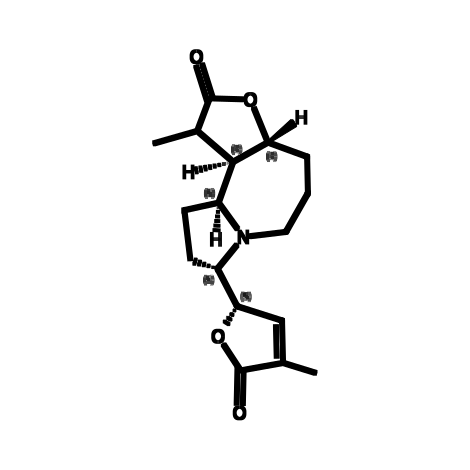 CC1=C[C@@H]([C@@H]2CC[C@H]3[C@H]4C(C)C(=O)O[C@@H]4CCCN32)OC1=O